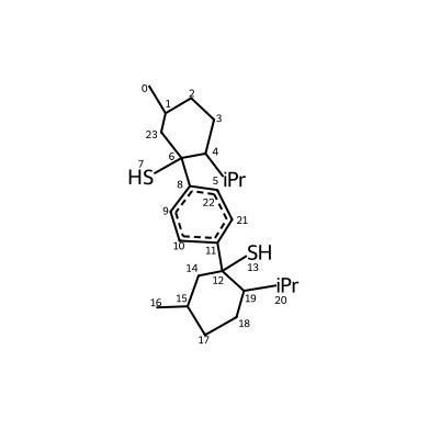 CC1CCC(C(C)C)C(S)(c2ccc(C3(S)CC(C)CCC3C(C)C)cc2)C1